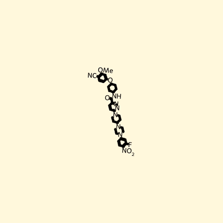 COc1cc(OC2CCC(NC(=O)c3ccc(N4CCC(N5CCN(c6ccc([N+](=O)[O-])c(F)c6)CC5)CC4)nn3)CC2)ccc1C#N